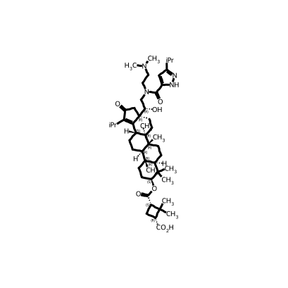 CC(C)C1=C2[C@H]3CC[C@@H]4[C@@]5(C)CC[C@H](OC(=O)[C@H]6C[C@@H](C(=O)O)C6(C)C)C(C)(C)[C@@H]5CC[C@@]4(C)[C@]3(C)CC[C@@]2([C@@H](O)CN(CCN(C)C)C(=O)c2cc(C(C)C)n[nH]2)CC1=O